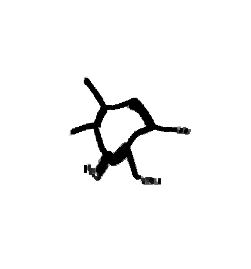 Cc1cc(C(C)(C)C)c(C(C)(C)C)c(O)c1C